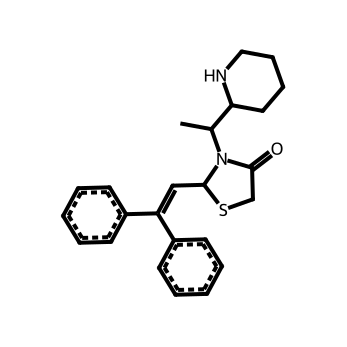 CC(C1CCCCN1)N1C(=O)CSC1C=C(c1ccccc1)c1ccccc1